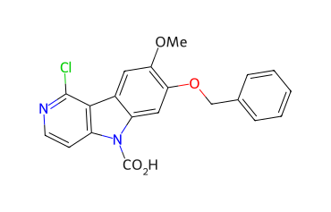 COc1cc2c3c(Cl)nccc3n(C(=O)O)c2cc1OCc1ccccc1